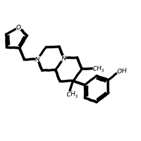 CC1CN2CCN(Cc3ccoc3)CC2CC1(C)c1cccc(O)c1